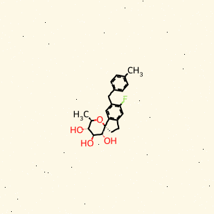 Cc1ccc(Cc2cc3c(cc2F)CC[C@]32O[C@H](C)[C@@H](O)[C@H](O)[C@H]2O)cc1